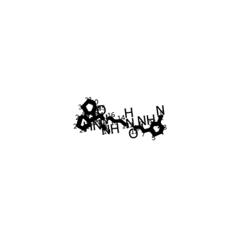 N#Cc1cccc(CC(N)C(=O)NCCCCN2C(=N)NC(c3ccccc3)(c3ccccc3)C2=O)c1